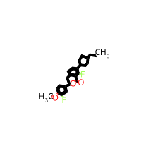 CCCC1CCC(c2ccc3c(c2F)C(=O)OC(c2ccc(OC)c(F)c2)C3)CC1